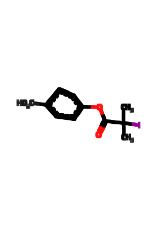 CC(C)(I)C(=O)Oc1ccc(C(=O)O)cc1